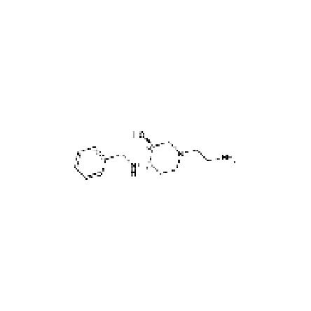 NCCN1CC[C@H](NCc2ccccc2)[C@@H](O)C1